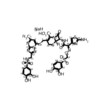 Cc1cc(SCC2=C(C(=O)O)N3C(=O)[C@@H](NC(=O)/C(=N\OCS(=O)(=O)c4ccc(O)c(O)c4)c4csc(N)n4)[C@H]3SC2)n2nc(CNS(=O)(=O)c3ccc(O)c(O)c3)nc2n1.[NaH]